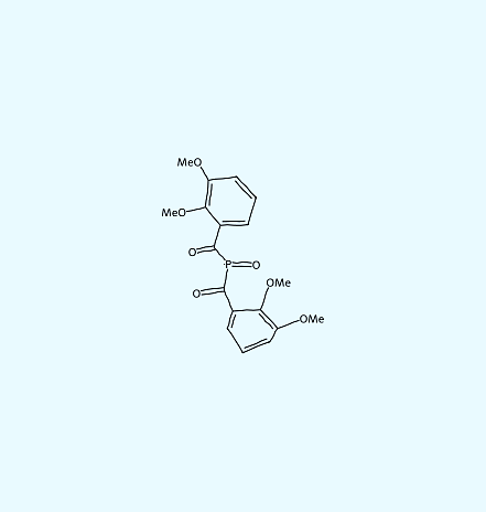 COc1cccc(C(=O)[P](=O)C(=O)c2cccc(OC)c2OC)c1OC